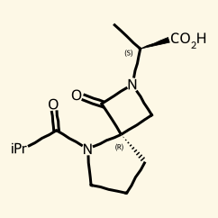 CC(C)C(=O)N1CCC[C@]12CN([C@@H](C)C(=O)O)C2=O